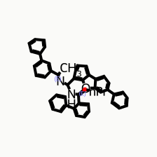 CCC/C=C(/NC(/N=C(\C)c1cccc(-c2ccccc2)c1)c1cccc2c1oc1cc(-c3ccccc3)ccc12)c1ccccc1-c1ccccc1